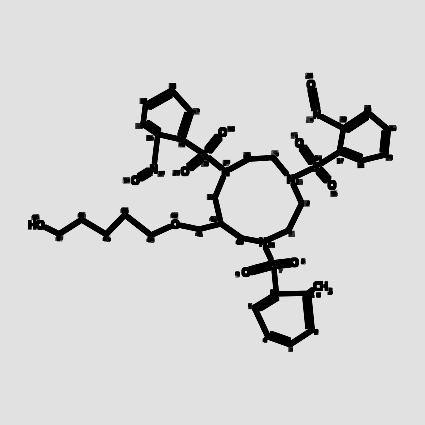 Cc1ccccc1S(=O)(=O)N1CCN(S(=O)(=O)c2ccccc2N=O)CCN(S(=O)(=O)c2ccccc2N=O)CC(COCCCCCO)C1